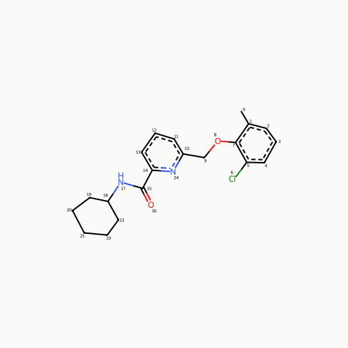 Cc1cccc(Cl)c1OCc1cccc(C(=O)NC2CCCCC2)n1